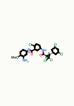 COc1ccc(NC(=O)c2cc(NC(=O)[C@H]3[C@H](c4cc(Cl)cc(Cl)c4)C3(Cl)Cl)ccc2Cl)cc1N